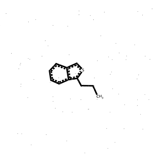 C[CH]Cc1scc2ccccc12